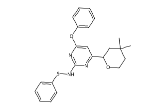 CC1(C)CCOC(c2cc(Oc3ccccc3)nc(NSc3ccccc3)n2)C1